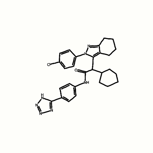 O=C(Nc1ccc(-c2nnn[nH]2)cc1)C(c1c2c(nn1-c1ccc(Cl)cc1)CCCC2)C1CCCCC1